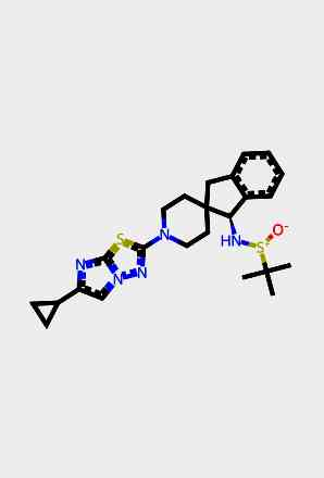 CC(C)(C)[S+]([O-])N[C@@H]1c2ccccc2CC12CCN(c1nn3cc(C4CC4)nc3s1)CC2